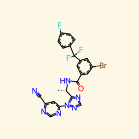 C[C@H](NC(=O)c1cc(Br)cc(C(F)(F)c2ccc(F)cc2)c1)c1ncnn1-c1cc(C#N)ncn1